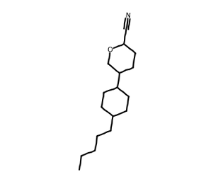 CCCCCC1CCC(C2CCC(C#N)OC2)CC1